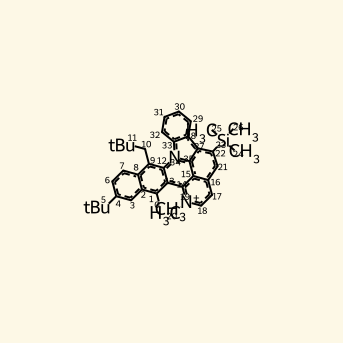 Cc1c2cc(C(C)(C)C)ccc2c(CC(C)(C)C)c2c1c1c3c(cc[n+]1C)cc([Si](C)(C)C)c1c4ccccc4n2c13